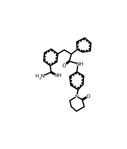 N=C(N)c1cccc(CC(C(=O)Nc2ccc(N3CCCCC3=O)cc2)c2ccccc2)c1